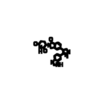 Cn1ncc(-c2ccc3c(c2)CN(C2CCC(=O)NC2=O)C3=O)c1-c1ccc2nc[nH]c2c1